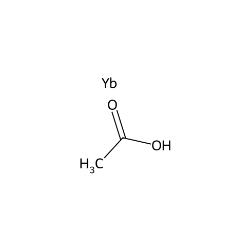 CC(=O)O.[Yb]